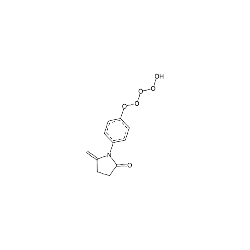 C=C1CCC(=O)N1c1ccc(OOOOO)cc1